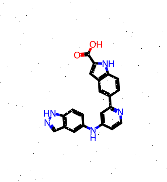 O=C(O)c1cc2cc(-c3cc(Nc4ccc5[nH]ncc5c4)ccn3)ccc2[nH]1